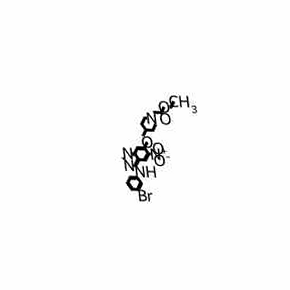 CCOC(=O)CN1CCC(COc2cc3ncnc(Nc4cccc(Br)c4)c3cc2[N+](=O)[O-])CC1